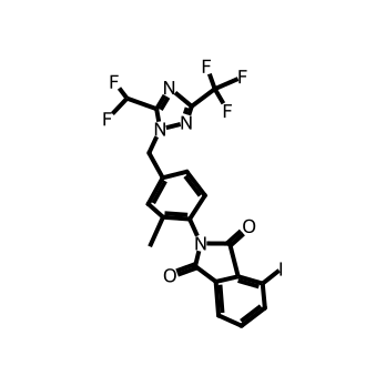 Cc1cc(Cn2nc(C(F)(F)F)nc2C(F)F)ccc1N1C(=O)c2cccc(I)c2C1=O